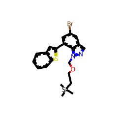 C[Si](C)(C)CCOCn1ncc2cc(Br)cc(-c3cc4ccccc4s3)c21